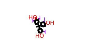 CC(c1ccc(O)c(I)c1)(c1ccc(O)c(I)c1)c1cc(I)c(O)c(I)c1